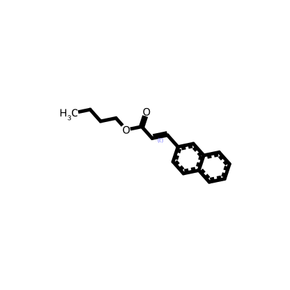 CCCCOC(=O)/C=C/c1ccc2ccccc2c1